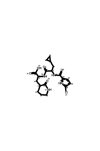 O=C(NC(CC1CC1)C(=O)NC(CC1CCCNC1=O)C(=O)O)c1ccc(Cl)[nH]1